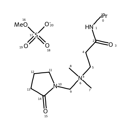 CC(C)NC(=O)CC[N+](C)(C)CN1CCCC1=O.COS(=O)(=O)[O-]